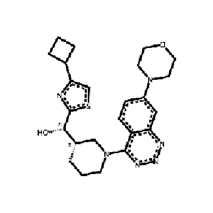 O[C@H](c1nc(C2CCC2)cs1)[C@H]1CCCN(c2nnnc3cc(N4CCOCC4)ccc23)C1